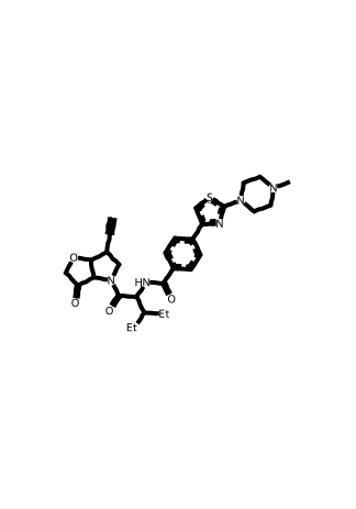 C#CC1CN(C(=O)C(NC(=O)c2ccc(-c3csc(N4CCN(C)CC4)n3)cc2)C(CC)CC)C2C(=O)COC12